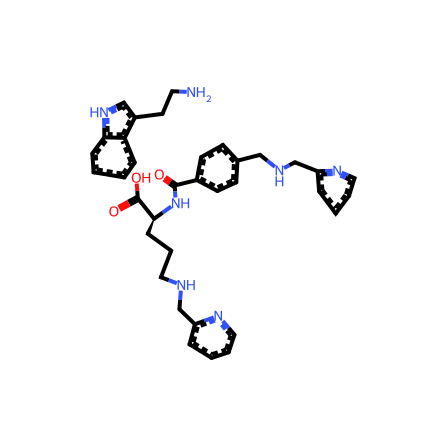 NCCc1c[nH]c2ccccc12.O=C(N[C@@H](CCCNCc1ccccn1)C(=O)O)c1ccc(CNCc2ccccn2)cc1